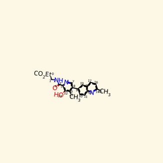 CCOC(=O)CNC(=O)c1ncc(-c2ccc3nc(C)ccc3c2)c(C)c1O